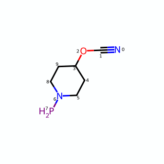 N#COC1CCN(P)CC1